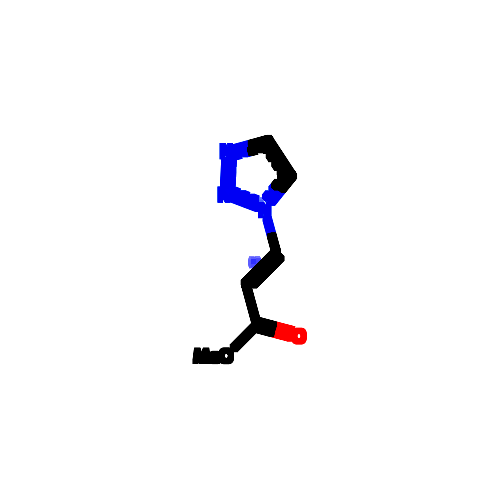 COC(=O)/C=C/n1ccnn1